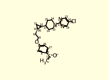 C[S+]([O-])c1ccc(OCC[C@H]2C[C@H]2C2CCN(c3ncc(Cl)cn3)CC2)cc1